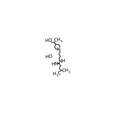 CC(C)CCC(=N)NCCCCN1CCC(C(C)CO)CC1.Cl